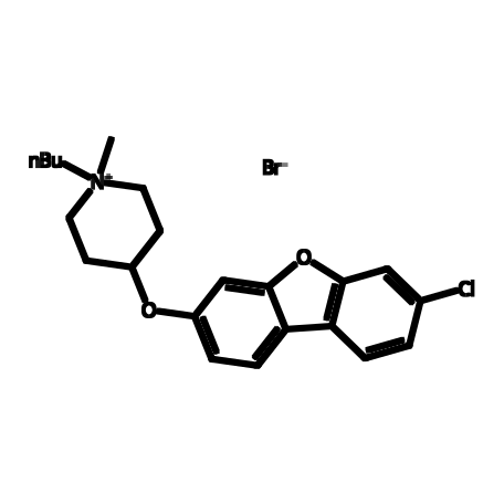 CCCC[N+]1(C)CCC(Oc2ccc3c(c2)oc2cc(Cl)ccc23)CC1.[Br-]